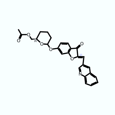 CC(=O)OC[C@H]1CCCC(Oc2ccc3c(c2)O/C(=C\c2cnc4ccccc4c2)C3=O)O1